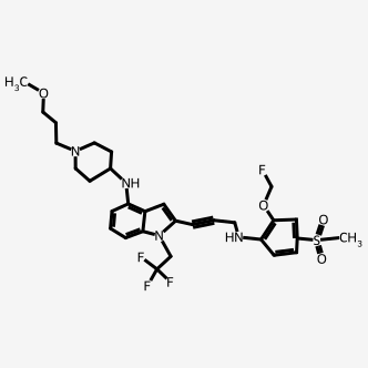 COCCCN1CCC(Nc2cccc3c2cc(C#CCNc2ccc(S(C)(=O)=O)cc2OCF)n3CC(F)(F)F)CC1